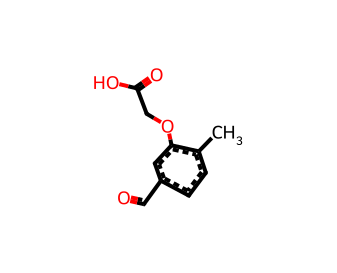 Cc1ccc(C=O)cc1OCC(=O)O